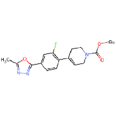 Cc1nnc(-c2ccc(C3=CCN(C(=O)OC(C)(C)C)CC3)c(F)c2)o1